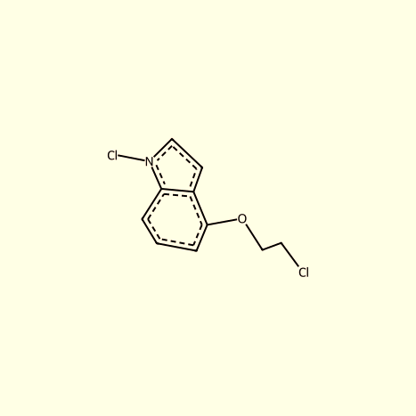 ClCCOc1cccc2c1ccn2Cl